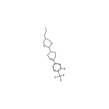 CCCC1COC(C2CC=C(c3ccc(C(F)(F)F)c(F)c3)CC2)OC1